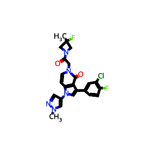 Cn1cc(-n2cc(-c3ccc(F)c(Cl)c3)c3c(=O)n(CC(=O)N4CC(C)(F)C4)ccc32)cn1